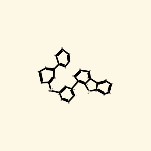 c1ccc(-c2cccc(Nc3cccc(-c4cccc5c4oc4ccccc45)c3)c2)cc1